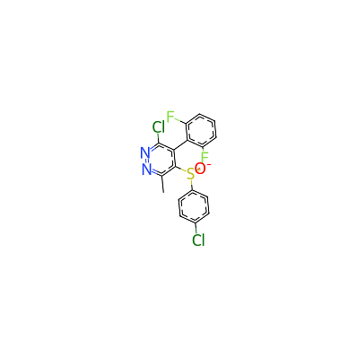 Cc1nnc(Cl)c(-c2c(F)cccc2F)c1[S+]([O-])c1ccc(Cl)cc1